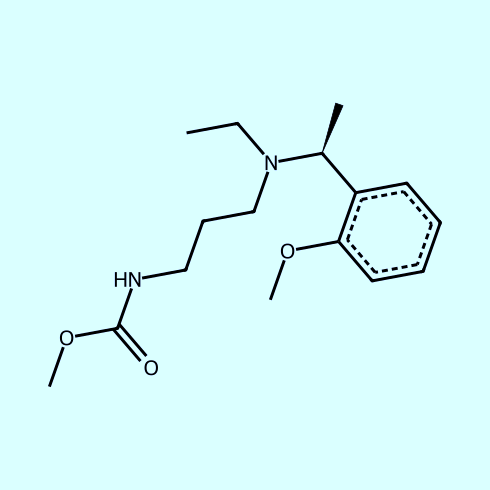 CCN(CCCNC(=O)OC)[C@@H](C)c1ccccc1OC